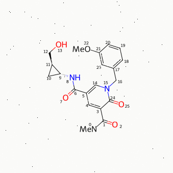 CNC(=O)c1cc(C(=O)N[C@@H]2C[C@H]2CO)cn(Cc2cccc(OC)c2)c1=O